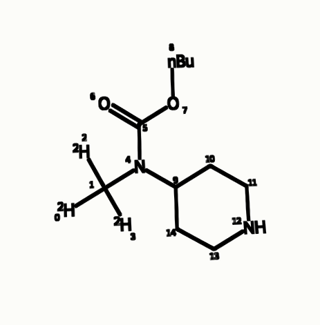 [2H]C([2H])([2H])N(C(=O)OCCCC)C1CCNCC1